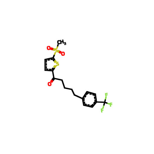 CS(=O)(=O)c1ccc(C(=O)CCCCc2ccc(C(F)(F)F)cc2)s1